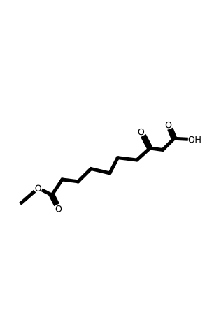 COC(=O)CCCCCCC(=O)CC(=O)O